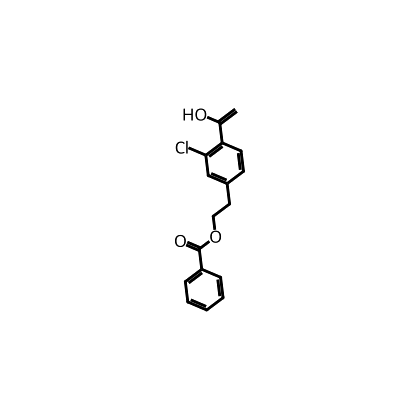 C=C(O)c1ccc(CCOC(=O)c2ccccc2)cc1Cl